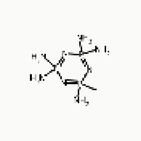 CP1(N)=NP(N)(N)=NP(N)(N)=N1